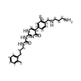 Cc1ccccc1CCCNC(=O)Nc1nc(=O)c(-c2ccc(CNCCCN)c(F)c2)c[nH]1